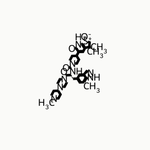 Cc1cc(C[C@@H](NC(=O)N2CCC(c3cc4c([nH]c3=O)[S+]([O-])CC4(C)C)CC2)C(=O)N2CCN(C3CCN(C)CC3)CC2)cc2cn[nH]c12